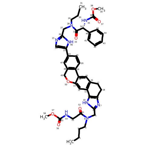 CCCCN(Cc1nc2c([nH]1)-c1cc3c(cc1CC2)-c1ccc(-c2cnc(CN(CCC)C(=O)[C@H](NC(=O)OC)c4ccccc4)[nH]2)cc1CO3)C(=O)CNC(=O)OC